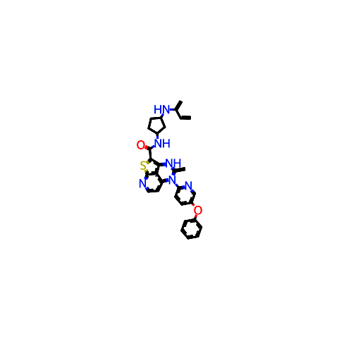 C=CC(=C)NC1CCC(NC(=O)c2sc3nccc4c3c2[nH]c(=C)n4-c2ccc(Oc3ccccc3)cn2)C1